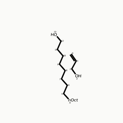 C=CCO.CCCCCCCCCCCCCCCCO